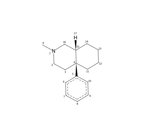 CN1CC[C@@]2(c3ccccc3)CCCC[C@H]2C1